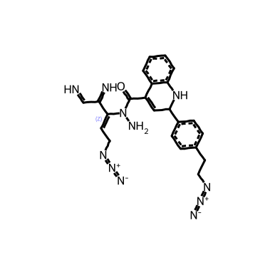 [N-]=[N+]=NC/C=C(/C(=N)C=N)N(N)C(=O)C1=CC(c2ccc(CCN=[N+]=[N-])cc2)Nc2ccccc21